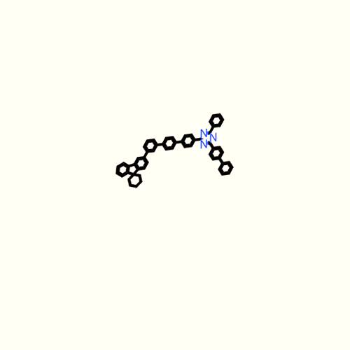 c1ccc(-c2ccc(-c3nc(-c4ccccc4)nc(-c4ccc(-c5ccc(-c6cccc(-c7ccc8c(c7)-c7ccccc7C87CCCCC7)c6)cc5)cc4)n3)cc2)cc1